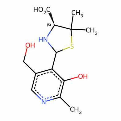 Cc1ncc(CO)c(C2N[C@@H](C(=O)O)C(C)(C)S2)c1O